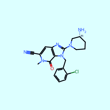 Cn1c(C#N)cc2nc(N3CCC[C@@H](N)C3)n(Cc3ccccc3Cl)c2c1=O